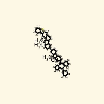 CC1(C)c2cc(-c3ccc4c(c3)-c3ccc5cc6sc7ccccc7c6cc5c3C4(C)C)ccc2-c2ccc(-c3c4ccccc4c(-c4ccccc4)c4ccccc34)cc21